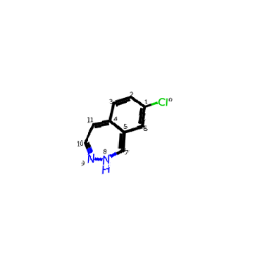 Clc1ccc2c(c1)=CNN=CC=2